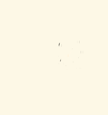 C[C@@H]([C@@H]1C=CC=C1C(c1ccccc1)C1CCCCC1)P(C(C)(C)C)C(C)(C)C